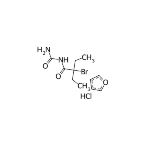 CCC(Br)(CC)C(=O)NC(N)=O.Cl.c1ccoc1